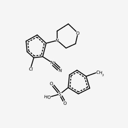 Cc1ccc(S(=O)(=O)O)cc1.N#[N+]c1c(Cl)cccc1N1CCOCC1